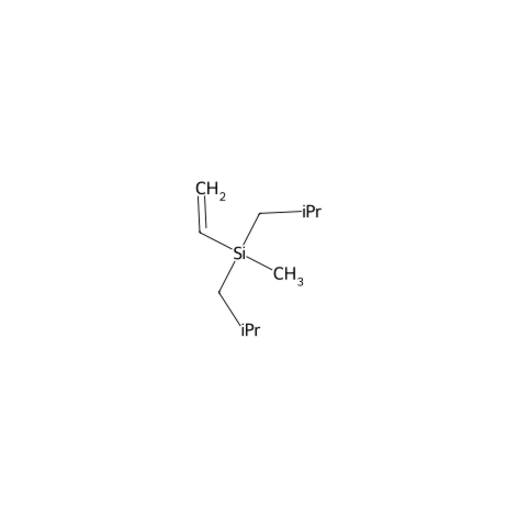 C=C[Si](C)(CC(C)C)CC(C)C